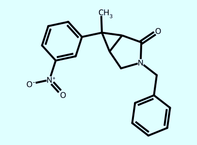 CC1(c2cccc([N+](=O)[O-])c2)C2CN(Cc3ccccc3)C(=O)C21